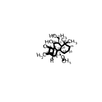 C=C1C(=O)[C@]23CC[C@H]1CC2[C@]1(COC)CCCC(C)(C)C1[C@H](CO)[C@H]3O